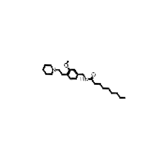 CCCCCCCCC(=O)NCc1ccc(CCN2CCCCC2)c(OC)c1